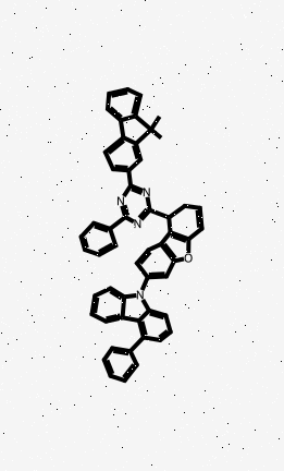 CC1(C)c2ccccc2-c2ccc(-c3nc(-c4ccccc4)nc(C4CC=Cc5oc6cc(-n7c8ccccc8c8c(-c9ccccc9)cccc87)ccc6c54)n3)cc21